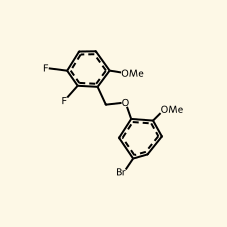 COc1ccc(Br)cc1OCc1c(OC)ccc(F)c1F